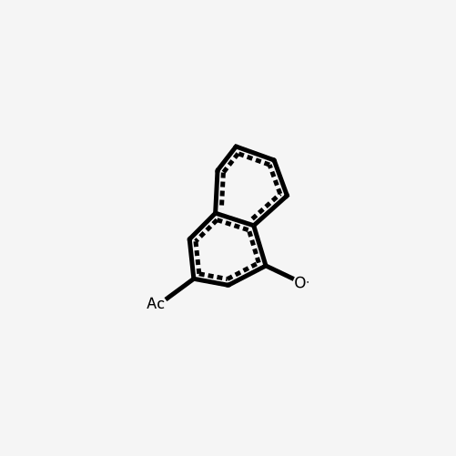 CC(=O)c1cc([O])c2ccccc2c1